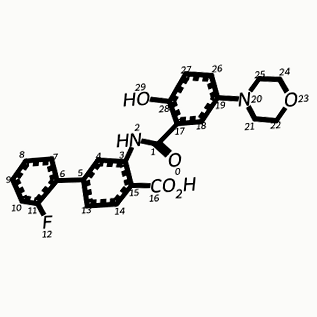 O=C(Nc1cc(-c2ccccc2F)ccc1C(=O)O)c1cc(N2CCOCC2)ccc1O